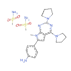 CS(N)(=O)=O.CS(N)(=O)=O.Cn1c(-c2ccc(N)cc2)cc2c(N3CCCC3)nc(N3CCCC3)nc21